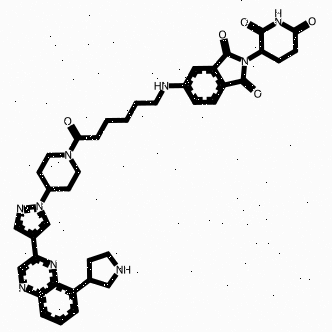 O=C1CCC(N2C(=O)c3ccc(NCCCCCC(=O)N4CCC(n5cc(-c6cnc7cccc(C8CCNC8)c7n6)cn5)CC4)cc3C2=O)C(=O)N1